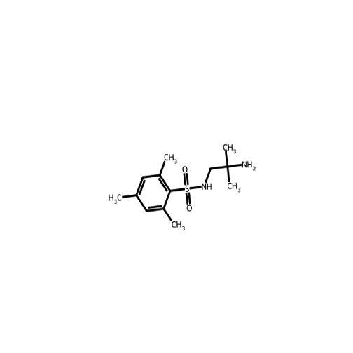 Cc1cc(C)c(S(=O)(=O)NCC(C)(C)N)c(C)c1